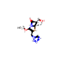 O=C(O)OC1=C(Cn2cnnn2)S[C@@H]2[C@@H](CO)C(=O)N12